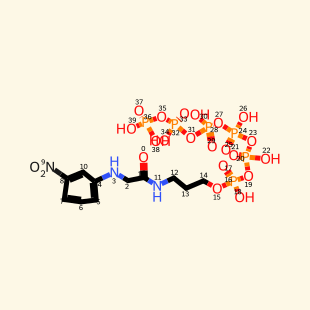 O=C(CNc1cccc([N+](=O)[O-])c1)NCCCOP(=O)(O)OP(=O)(O)OP(=O)(O)OP(=O)(O)OP(=O)(O)OP(=O)(O)O